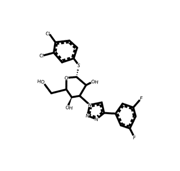 OCC1O[C@H](Sc2ccc(Cl)c(Cl)c2)C(O)C(n2cc(-c3cc(F)cc(F)c3)nn2)[C@H]1O